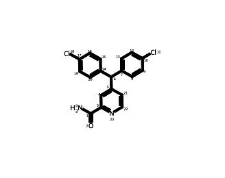 NC(=O)c1cc(C(c2ccc(Cl)cc2)c2ccc(Cl)cc2)ccn1